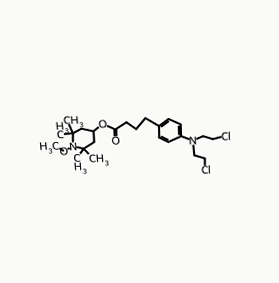 CON1C(C)(C)CC(OC(=O)CCCc2ccc(N(CCCl)CCCl)cc2)CC1(C)C